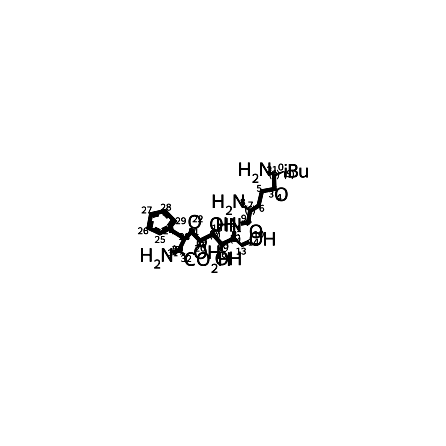 CC[C@H](C)[C@H](N)C(=O)CC[C@H](N)C(=O)N[C@@H](CO)[C@@H](O)[C@@H](O)[C@H](O)C(=O)C(c1ccccc1)[C@H](N)C(=O)O